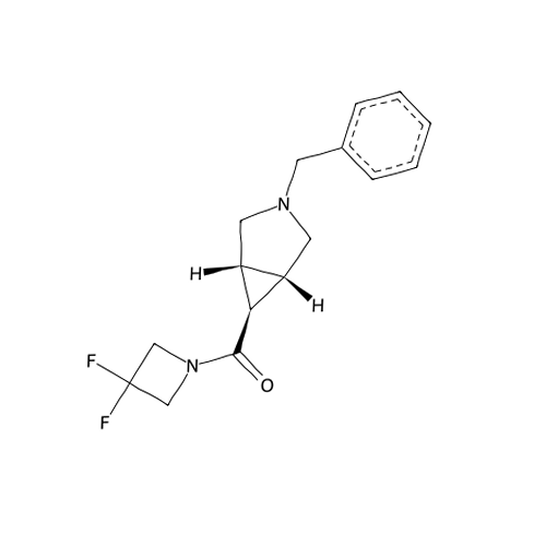 O=C([C@H]1[C@@H]2CN(Cc3ccccc3)C[C@@H]21)N1CC(F)(F)C1